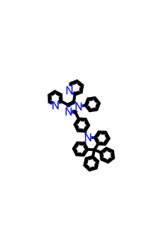 c1ccc(-n2c(-c3ccc(N4c5ccccc5C(c5ccccc5)(c5ccccc5)c5ccccc54)cc3)nc(-c3ccccn3)c2-c2ccccn2)cc1